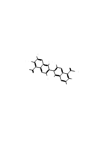 Cc1cc2c(C(=O)C(C)C)c(O)c(O)cc2c(O)c1-c1c(C)cc2c(C(=O)C(C)C)c(O)c(O)cc2c1O